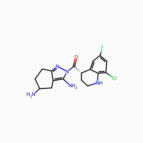 Nc1c2c(nn1C(=O)[C@H]1CCNc3c(Cl)cc(F)cc31)CCC(N)C2